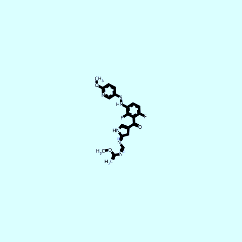 C=C(/N=C\N=C1/CC(C(=O)c2c(F)ccc(NSc3ccc(OC)nc3)c2F)=CN1)OC